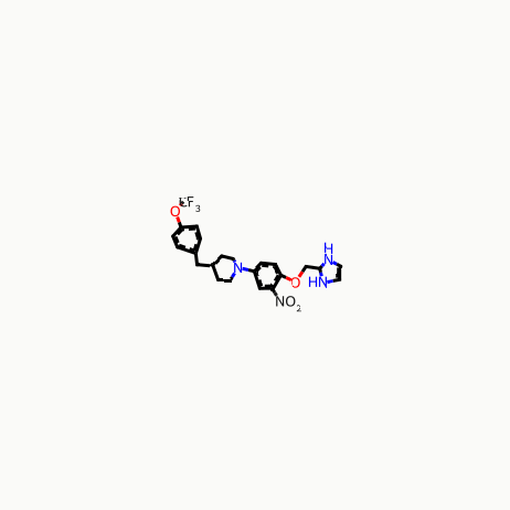 O=[N+]([O-])c1cc(N2CCC(Cc3ccc(OC(F)(F)F)cc3)CC2)ccc1OCC1NC=CN1